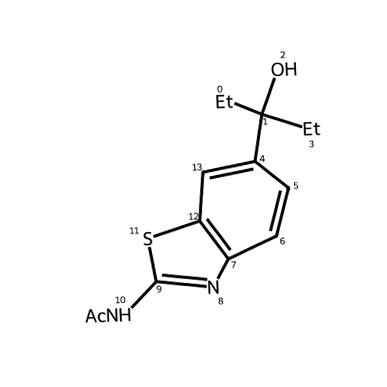 CCC(O)(CC)c1ccc2nc(NC(C)=O)sc2c1